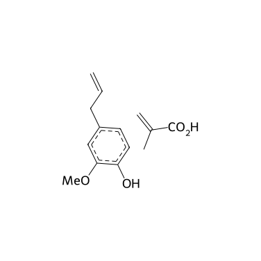 C=C(C)C(=O)O.C=CCc1ccc(O)c(OC)c1